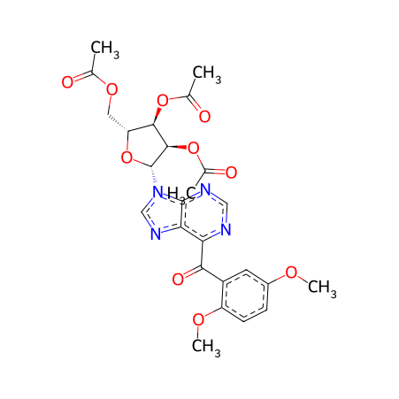 COc1ccc(OC)c(C(=O)c2ncnc3c2ncn3[C@@H]2O[C@H](COC(C)=O)[C@@H](OC(C)=O)[C@H]2OC(C)=O)c1